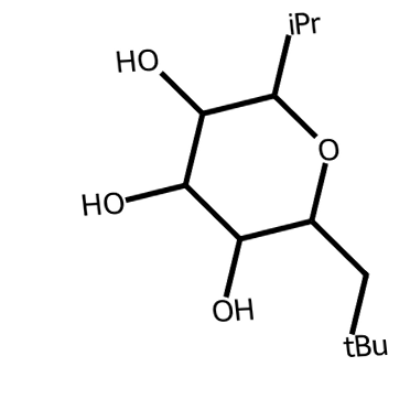 CC(C)C1OC(CC(C)(C)C)C(O)C(O)C1O